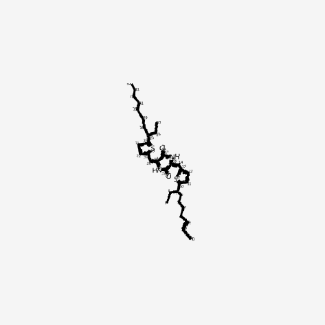 CCCCCCCC(CC)c1ccc(C=c2[nH]c(=O)c(=Cc3ccc(C(CC)CCCCCCC)s3)[nH]c2=O)s1